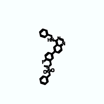 CN(Cc1cc(-c2ccc3ncnc(NCc4ccccc4)c3c2)ccc1F)S(=O)(=O)Cc1ccccc1